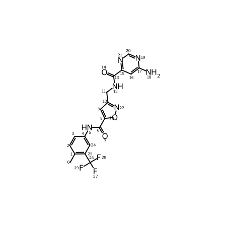 Cc1ccc(NC(=O)c2cc(CNC(=O)c3cc(N)ncn3)no2)cc1C(F)(F)F